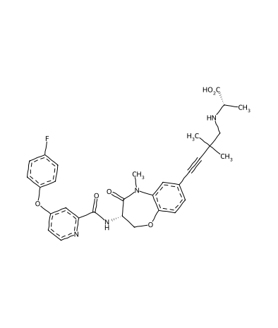 C[C@H](NCC(C)(C)C#Cc1ccc2c(c1)N(C)C(=O)[C@@H](NC(=O)c1cc(Oc3ccc(F)cc3)ccn1)CO2)C(=O)O